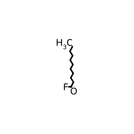 CCCCCCCCCCC(=O)F